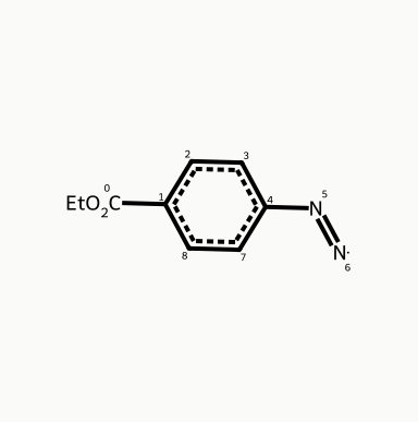 CCOC(=O)c1ccc(N=[N])cc1